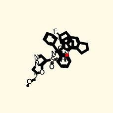 COC[C@@H]1Cn2ncc(S(=O)(=NC(c3ccccc3)(c3ccccc3)c3ccccc3)NC(=O)Nc3c4c(cc5c3C[C@@H](F)C5)CCC4)c2O1